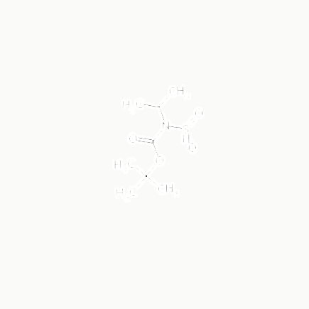 CC(C)N(C(=O)OC(C)(C)C)[SH](=O)=O